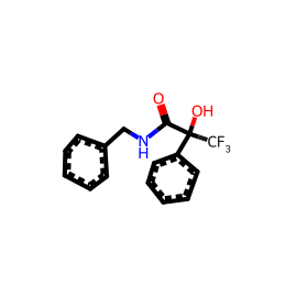 O=C(NCc1ccccc1)C(O)(c1ccccc1)C(F)(F)F